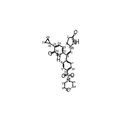 O=C1CC[C@H](C=C(c2ccc(S(=O)(=O)N3CCOCC3)cc2)c2ccc(C3CC3)c(=O)[nH]2)N1